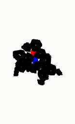 C=Cc1ccc(C2(c3ccc(C=C)cc3)c3ccccc3-c3ccc(N(c4cccc5c4-c4ccccc4C5(c4ccc(C=C)cc4)c4ccc(C=C)cc4)c4cccc5c4oc4c(-c6ccccc6)cccc45)cc32)cc1